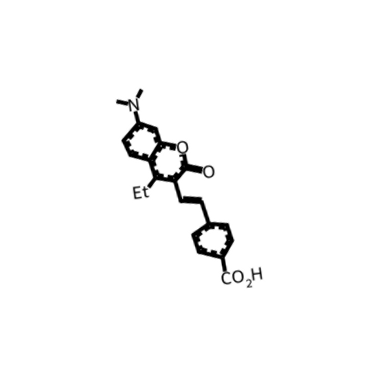 CCc1c(/C=C/c2ccc(C(=O)O)cc2)c(=O)oc2cc(N(C)C)ccc12